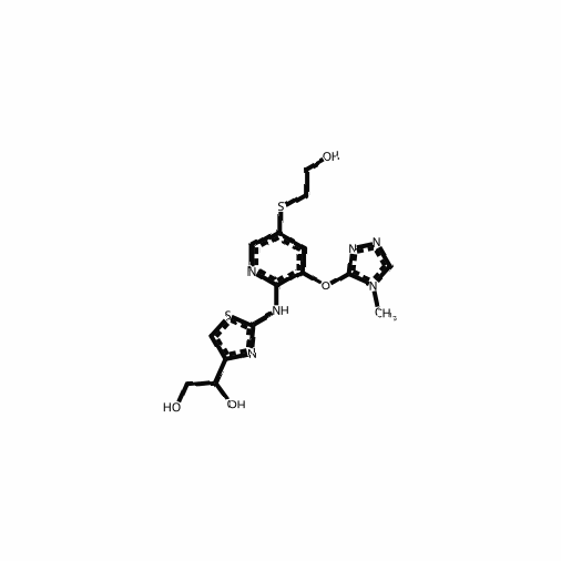 Cn1cnnc1Oc1cc(SCCO)cnc1Nc1nc(C(O)CO)cs1